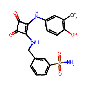 NS(=O)(=O)c1cccc(CNc2c(Nc3ccc(O)c(C(F)(F)F)c3)c(=O)c2=O)c1